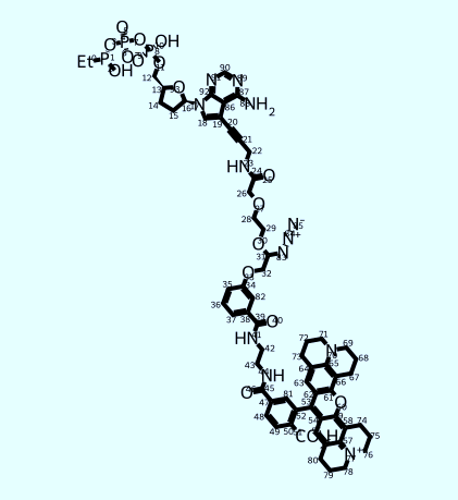 CCP(O)OP(=O)([O-])OP(=O)(O)OC[C@@H]1CC[C@H](n2cc(C#CCNC(=O)COCCOC(COc3cccc(C(=O)NCCNC(=O)c4ccc(C(=O)O)c(C5=c6cc7c8c(c6Oc6c5cc5c9c6CCCN9CCC5)CCC[N+]=8CCC7)c4)c3)N=[N+]=[N-])c3c(N)ncnc32)O1